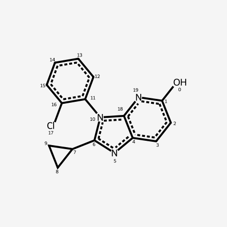 Oc1ccc2nc(C3CC3)n(-c3ccccc3Cl)c2n1